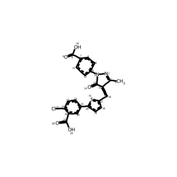 CC1=NN(c2ccc(C(=O)O)cc2)C(=O)C1=Cc1ccc(-c2ccc(Cl)c(C(=O)O)c2)s1